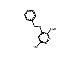 COc1nnc(C(C)(C)C)cc1OCc1ccccc1